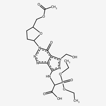 CCOP(=O)(OCC)C(Nc1nn(CO)c2c(=O)n(C3CCC(COC(C)=O)O3)nnc12)C(=O)O